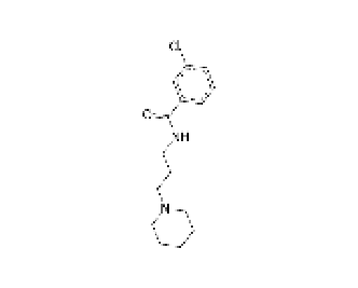 O=C(NCCCN1CCCCC1)c1cccc(Cl)c1